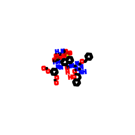 NOS(=O)(=O)c1ccc(Nc2nc(NC(Cc3ccccc3)C(=O)O)nc(OCc3ccccc3)n2)c2c(O)c(N=Nc3cc(OC=O)cc(OC=O)c3)c(NS(=O)(=O)O)cc12